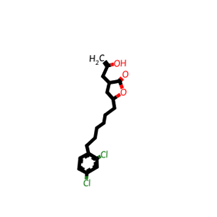 C=C(O)CC1CC(CCCCCCc2ccc(Cl)cc2Cl)OC1=O